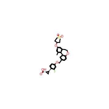 Cc1cc(OC2CCS(=O)(=O)CC2)cc2c1-c1cc(COc3ccc([C@H]4C[C@@H]4C(=O)O)c(F)c3)ccc1OCC2